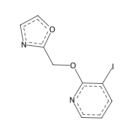 Ic1cccnc1OCc1ncco1